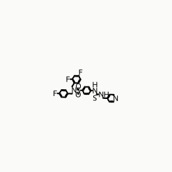 O=S(=O)(c1ccc(NC(=S)NCc2ccncc2)cc1)N(Cc1ccc(F)cc1)Cc1ccc(F)cc1F